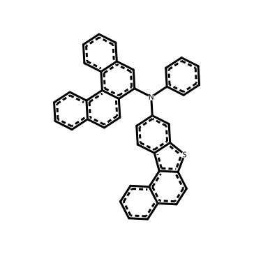 c1ccc(N(c2ccc3c(c2)sc2ccc4ccccc4c23)c2cc3ccccc3c3c2ccc2ccccc23)cc1